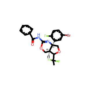 CC(F)(F)C1OC[C@]2(c3cc(Br)ccc3F)N=C(NC(=O)c3ccccc3)OC[C@H]12